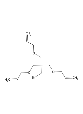 C=CCOCC(CBr)(COCC=C)COCC=C